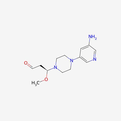 CO[C@@H](CC=O)N1CCN(c2cncc(N)c2)CC1